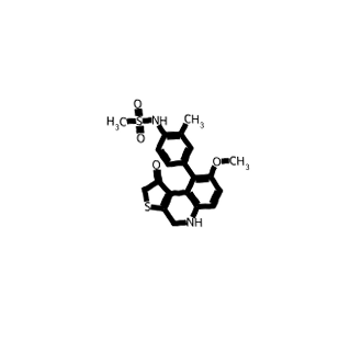 COc1ccc2c(c1-c1ccc(NS(C)(=O)=O)c(C)c1)C1=C(CN2)SCC1=O